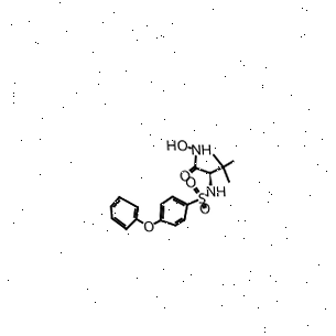 CC(C)(C)[C@@H](NS(=O)(=O)c1ccc(Oc2ccccc2)cc1)C(=O)NO